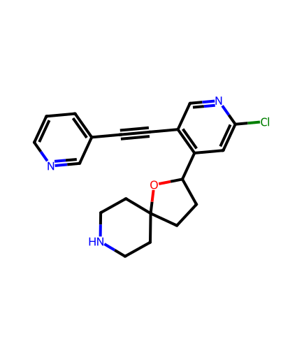 Clc1cc(C2CCC3(CCNCC3)O2)c(C#Cc2cccnc2)cn1